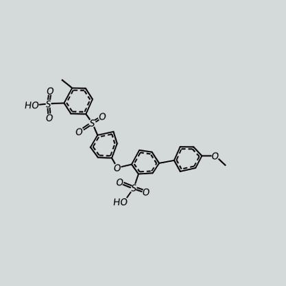 COc1ccc(-c2ccc(Oc3ccc(S(=O)(=O)c4ccc(C)c(S(=O)(=O)O)c4)cc3)c(S(=O)(=O)O)c2)cc1